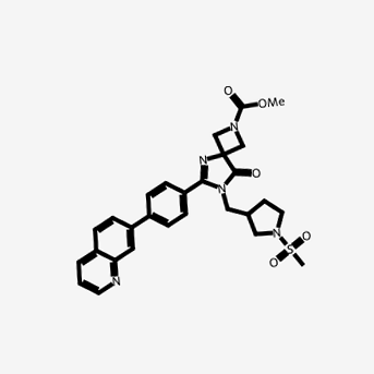 COC(=O)N1CC2(C1)N=C(c1ccc(-c3ccc4cccnc4c3)cc1)N(CC1CCN(S(C)(=O)=O)C1)C2=O